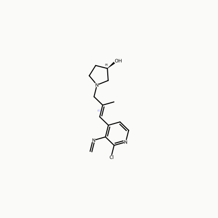 C=Nc1c(/C=C(\C)CN2CC[C@@H](O)C2)ccnc1Cl